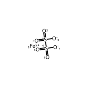 O=S(=O)([O-])S(=O)(=O)[O-].[Fe+2]